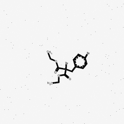 CCOC(=O)C(Br)(Cc1ccc(Br)cc1)C(=O)OCC